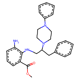 COC(=O)c1cccc(N)c1NCC(Cc1ccccc1)N1CCN(c2ccccc2)CC1